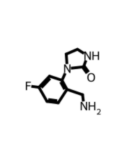 NCc1ccc(F)cc1N1CCNC1=O